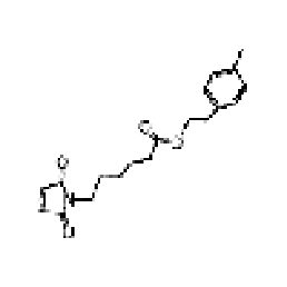 Cc1ccc(CCOC(=O)CCCCCN2C(=O)C=CC2=O)cc1